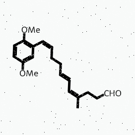 COc1ccc(OC)c(/C=C\CCC=CC=C(C)CCC=O)c1